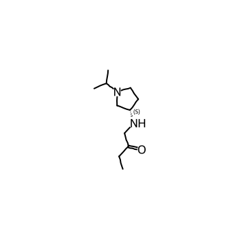 CCC(=O)CN[C@H]1CCN(C(C)C)C1